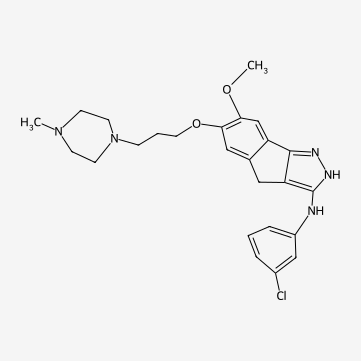 COc1cc2c(cc1OCCCN1CCN(C)CC1)Cc1c-2n[nH]c1Nc1cccc(Cl)c1